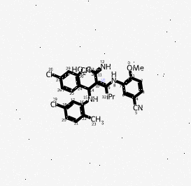 COc1ccc(C#N)cc1N/C(=C(\C(=N)C(=O)O)C(Nc1cc(Cl)ccc1C)c1ccc(Cl)cc1C)C(C)C